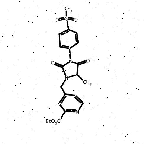 CCOC(=O)c1cc(CN2C(=O)N(c3ccc(S(=O)(=O)C(F)(F)F)cc3)C(=O)C2C)ccn1